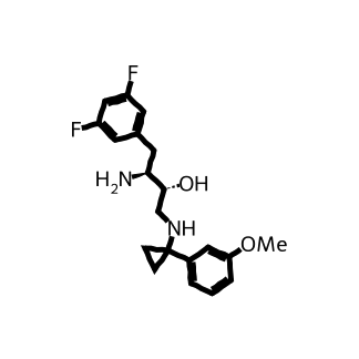 COc1cccc(C2(NC[C@@H](O)[C@@H](N)Cc3cc(F)cc(F)c3)CC2)c1